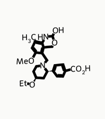 CCO[C@H]1CCN(Cc2c(OC)cc(C)c3c2COC(O)N3)[C@H](c2ccc(C(=O)O)cc2)C1